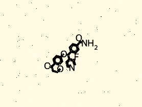 NC(=O)c1ccc(C(Oc2ccc3c(c2)OCCC3=O)c2ccncc2F)cc1